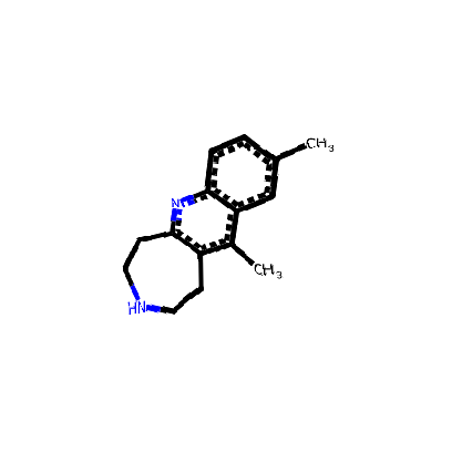 Cc1ccc2nc3c(c(C)c2c1)CCNCC3